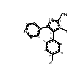 Cn1c(O)nc(-c2ccncc2)c1-c1ccc(F)cc1